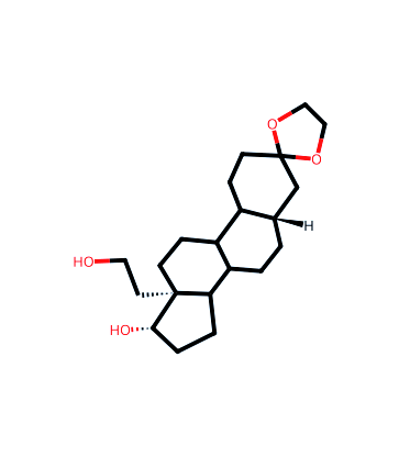 OCC[C@]12CCC3C(CC[C@H]4CC5(CCC34)OCCO5)C1CC[C@@H]2O